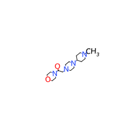 CN1CCC(N2CCN(CC(=O)N3CCOCC3)CC2)CC1